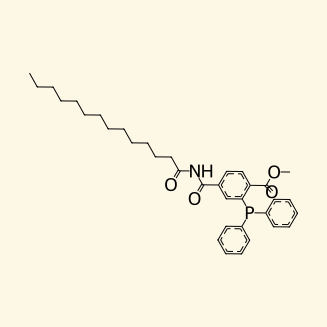 CCCCCCCCCCCCCC(=O)NC(=O)c1ccc(C(=O)OC)c(P(c2ccccc2)c2ccccc2)c1